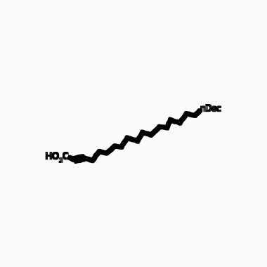 CCCCCCCCCCCCCCCCCCCCCCCCCC#CC(=O)O